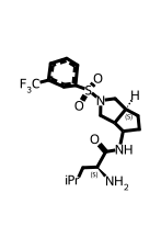 CC(C)C[C@H](N)C(=O)NC1CC[C@@H]2CN(S(=O)(=O)c3cccc(C(F)(F)F)c3)CC12